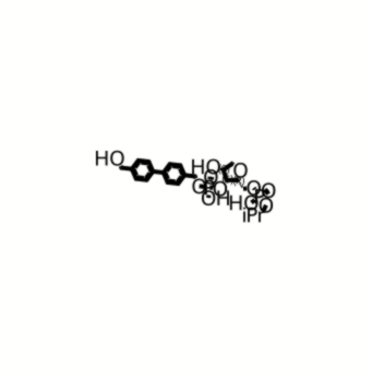 CC(C)OP(=O)(O)OC[C@H]1OC[C@H](O)[C@@H]1OP(=O)(O)OCc1ccc(-c2ccc(CO)cc2)cc1